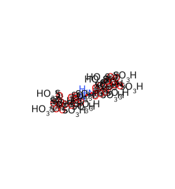 O=C(NCCCNC(=O)[C@H](OS(=O)(=O)O)[C@@H](OS(=O)(=O)O)[C@H](OS(=O)(=O)O)[C@@H](CO[C@H]1O[C@H](COS(=O)(=O)O)[C@H](OS(=O)(=O)O)[C@H](OS(=O)(=O)O)[C@H]1OS(=O)(=O)O)OS(=O)(=O)O)[C@H](OS(=O)(=O)O)[C@@H](OS(=O)(=O)O)[C@H](OS(=O)(=O)O)[C@@H](CO[C@H]1O[C@H](COS(=O)(=O)O)[C@H](OS(=O)(=O)O)[C@H](OS(=O)(=O)O)[C@H]1OS(=O)(=O)O)OS(=O)(=O)O